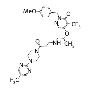 COc1ccc(Cn2ncc(O[C@@H](C)CNCCC(=O)N3CCN(c4ncc(C(F)(F)F)cn4)CC3)c(C(F)(F)F)c2=O)cc1